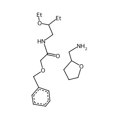 CCOC(CC)CNC(=O)COCc1ccccc1.NCC1CCCO1